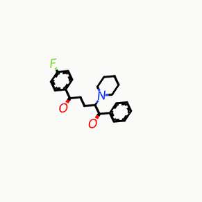 O=C(CCC(C(=O)c1ccccc1)N1CCCCC1)c1ccc(F)cc1